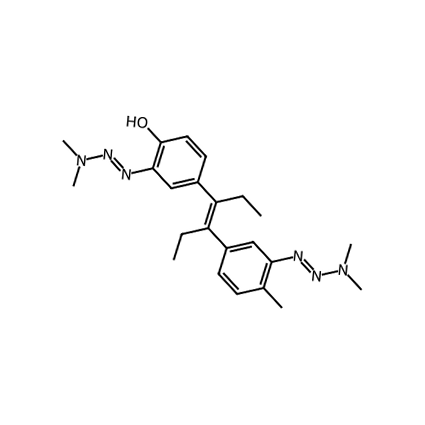 CC/C(=C(/CC)c1ccc(O)c(N=NN(C)C)c1)c1ccc(C)c(N=NN(C)C)c1